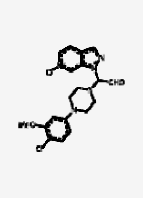 COc1cc(N2CCN(C(C=O)n3ncc4cc[n+]([O-])cc43)CC2)ccc1Cl